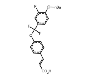 CCCCOc1ccc(C(F)(F)Oc2ccc(C=CC(=O)O)cc2)cc1F